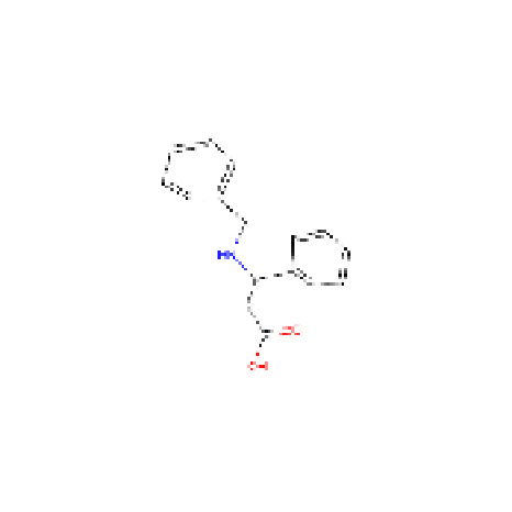 O=C(O)CC(NCc1ccccc1)c1ccccc1